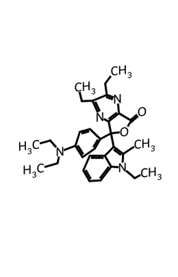 CCc1nc2c(nc1CC)C(c1ccc(N(CC)CC)cc1)(c1c(C)n(CC)c3ccccc13)OC2=O